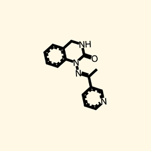 C/C(=N\N1C(=O)NCc2ccccc21)c1cccnc1